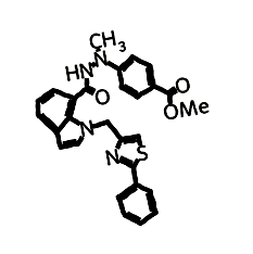 COC(=O)c1ccc(N(C)NC(=O)c2cccc3ccn(Cc4csc(-c5ccccc5)n4)c23)cc1